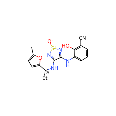 CC[C@@H](Nc1n[s+]([O-])nc1Nc1cccc(C#N)c1O)c1ccc(C)o1